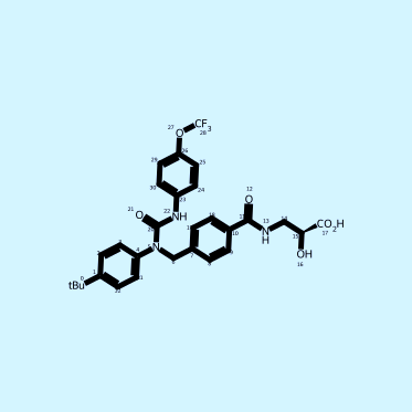 CC(C)(C)c1ccc(N(Cc2ccc(C(=O)NC[C@H](O)C(=O)O)cc2)C(=O)Nc2ccc(OC(F)(F)F)cc2)cc1